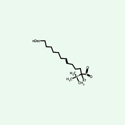 CCCCCCCCCCCCCCCCC=CCCCC(CC)(P(=O)=O)[N+](C)(C)C